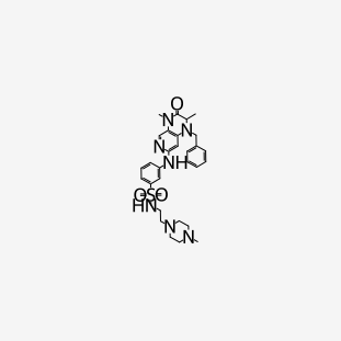 CC1C(=O)N(C)c2cnc(Nc3cccc(S(=O)(=O)NCCN4CCN(C)CC4)c3)cc2N1Cc1ccccc1